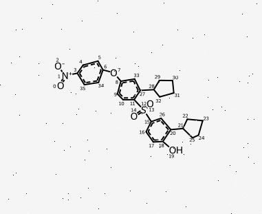 O=[N+]([O-])c1ccc(Oc2ccc(S(=O)(=O)c3ccc(O)c(C4CCCC4)c3)c(C3CCCC3)c2)cc1